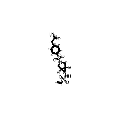 C=CS(=O)(=O)N[C@H]1[C@@H]2CN(S(=O)(=O)c3ccc(CC(N)=O)cc3)C[C@@H]21